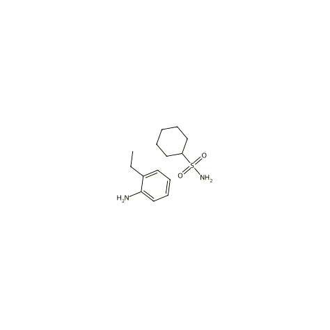 CCc1ccccc1N.NS(=O)(=O)C1CCCCC1